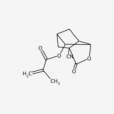 C=C(C)C(=O)OC1C2CC3C1OC(=O)C3(C#N)C2